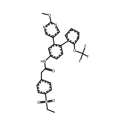 CCS(=O)(=O)c1ccc(CC(=O)Nc2ccc(-c3ccccc3OC(F)(F)F)c(-c3cnc(OC)nc3)c2)cc1